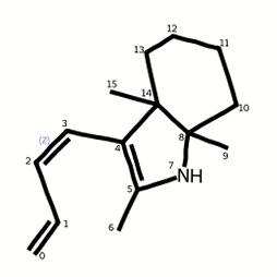 C=C/C=C\C1=C(C)NC2(C)CCCCC12C